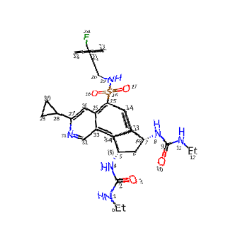 CCNC(=O)N[C@H]1C[C@@H](NC(=O)NCC)c2cc(S(=O)(=O)NCC(C)(C)F)c3cc(C4CC4)ncc3c21